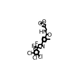 Cc1cc(C2=NCC(c3cc(Cl)c(Cl)c(Cl)c3)(C(F)(F)F)C2)ccc1C(=O)NCC1CS(=O)(=O)C1